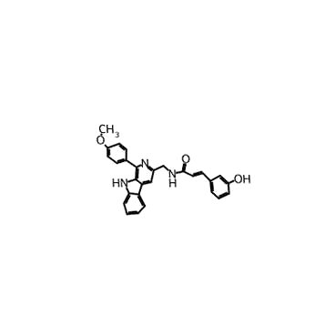 COc1ccc(-c2nc(CNC(=O)/C=C/c3cccc(O)c3)cc3c2[nH]c2ccccc23)cc1